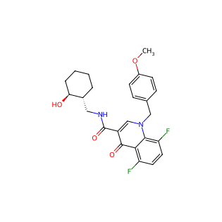 COc1ccc(Cn2cc(C(=O)NC[C@H]3CCCC[C@@H]3O)c(=O)c3c(F)ccc(F)c32)cc1